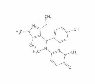 C=Cc1nn(C)c(C)c1C(c1ccc(O)cc1)N(C)c1ccc(=O)n(C)n1